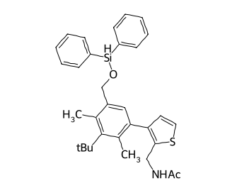 CC(=O)NCc1sccc1-c1cc(CO[SiH](c2ccccc2)c2ccccc2)c(C)c(C(C)(C)C)c1C